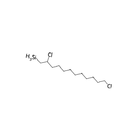 [SiH3]CC(Cl)CCCCCCCCCCCl